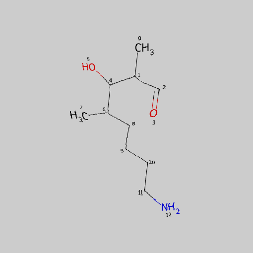 CC(C=O)C(O)C(C)CCCCN